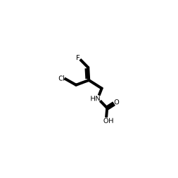 O=C(O)NCC(=CF)CCl